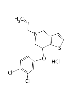 C=CCN1Cc2ccsc2C(Oc2ccc(Cl)c(Cl)c2)C1.Cl